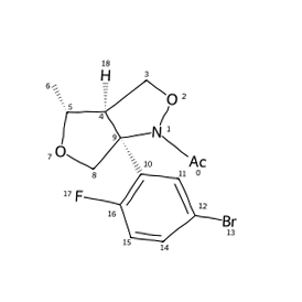 CC(=O)N1OC[C@@H]2[C@@H](C)OC[C@@]21c1cc(Br)ccc1F